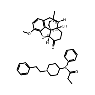 CCC(=O)N(c1ccccc1)C1CCN(CCc2ccccc2)CC1.COc1ccc2c3c1O[C@H]1C(=O)CC[C@@]4(O)[C@@H](C2)N(C)CC[C@]314